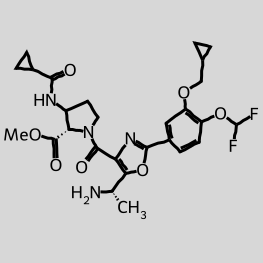 COC(=O)[C@@H]1C(NC(=O)C2CC2)CCN1C(=O)c1nc(-c2ccc(OC(F)F)c(OCC3CC3)c2)oc1[C@H](C)N